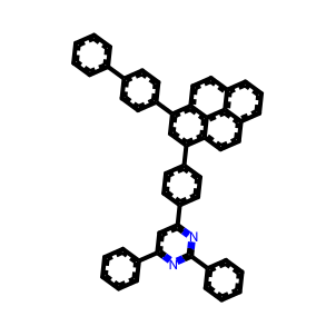 c1ccc(-c2ccc(-c3cc(-c4ccc(-c5cc(-c6ccccc6)nc(-c6ccccc6)n5)cc4)c4ccc5cccc6ccc3c4c65)cc2)cc1